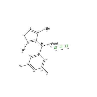 CCCCC[SiH](C1=[C]([Ti+3])CC=C1C(C)CC)c1cc(C)cc(C)c1.[Cl-].[Cl-].[Cl-]